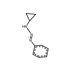 c1ccc(/N=N/NC2CC2)cc1